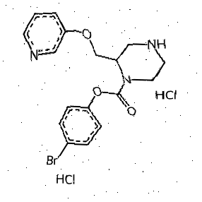 Cl.Cl.O=C(Oc1ccc(Br)cc1)N1CCNCC1COc1cccnc1